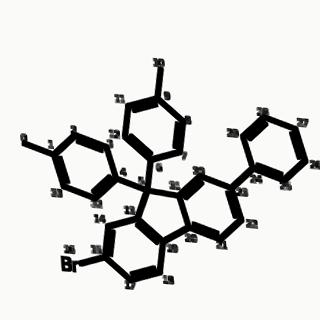 Cc1ccc(C2(c3ccc(C)cc3)c3cc(Br)ccc3-c3ccc(-c4ccccc4)cc32)cc1